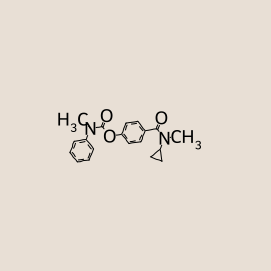 CN(C(=O)Oc1ccc(C(=O)N(C)C2CC2)cc1)c1ccccc1